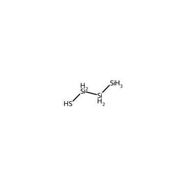 [SiH3][SiH2][SiH2]S